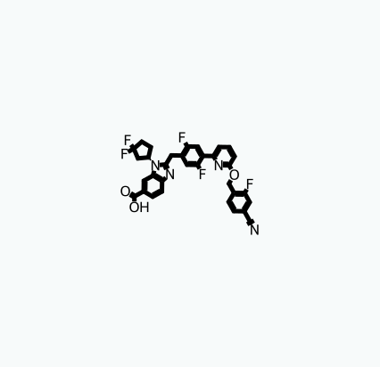 N#Cc1ccc(COc2cccc(-c3cc(F)c(Cc4nc5ccc(C(=O)O)cc5n4[C@H]4CCC(F)(F)C4)cc3F)n2)c(F)c1